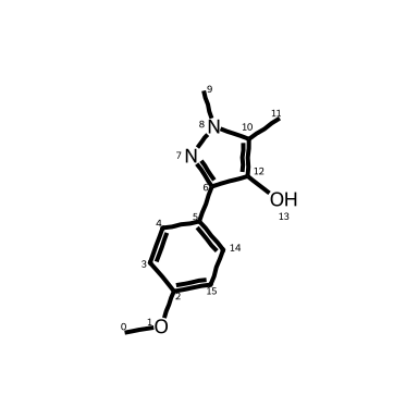 COc1ccc(-c2nn(C)c(C)c2O)cc1